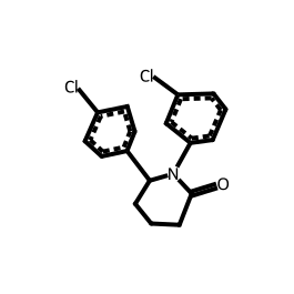 O=C1CCCC(c2ccc(Cl)cc2)N1c1cccc(Cl)c1